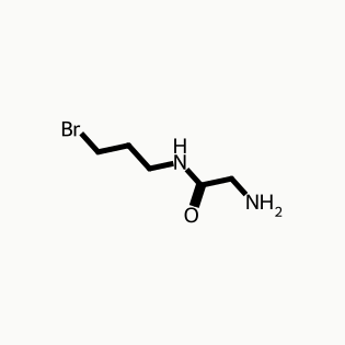 NCC(=O)NCCCBr